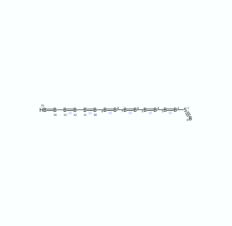 B#S\B=B/B=B\B=B/B=B\B=B/B=B\B=B